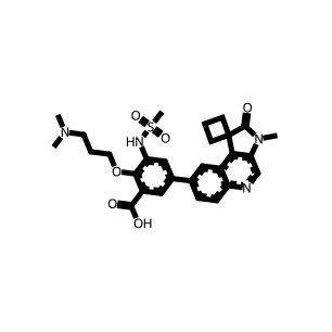 CN(C)CCCOc1c(NS(C)(=O)=O)cc(-c2ccc3ncc4c(c3c2)C2(CCC2)C(=O)N4C)cc1C(=O)O